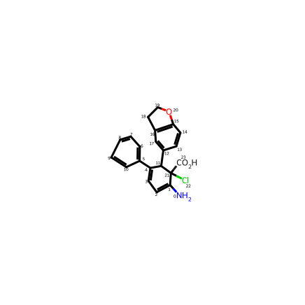 NC1=CC=C(c2ccccc2)C(c2ccc3c(c2)CCO3)C1(Cl)C(=O)O